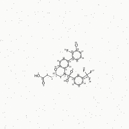 O=C(O)CC[C@H]1CN(S(=O)(=O)c2cccc(C(F)(F)F)c2)c2cc(-c3cccc(Cl)c3F)ccc2O1